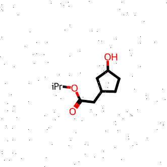 CC(C)OC(=O)CC1CCC(O)C1